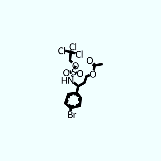 CC(=O)OCCC(NS(=O)(=O)OCC(Cl)(Cl)Cl)c1ccc(Br)cc1